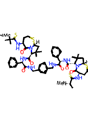 CN[C@@H](C)C(=S)N[C@@H]1CCS[C@H]2CC(C)(C)[C@@H](C(=O)N[C@H](C(=O)NCc3ccc(CNC(=O)[C@H](NC(=O)[C@H]4N5C(=O)[C@@H](NC(=S)C(C)(C)NC)CCS[C@H]5CC4(C)C)c4ccccc4)cc3)c3ccccc3)N2C1=O